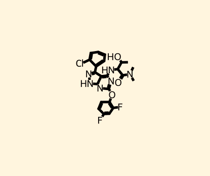 CC(O)C(Nc1nc(Oc2ccc(F)cc2F)nc2[nH]nc(-c3ccccc3Cl)c12)C(=O)N(C)C